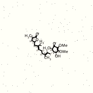 COC1=C(OC)[C@H](O)[C@H](C/C=C(\C)CC/C=C(\C)CC2C[C@H](C)C(=O)O2)[C@@H](C)C1=O